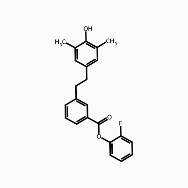 Cc1cc(CCc2cccc(C(=O)Oc3ccccc3F)c2)cc(C)c1O